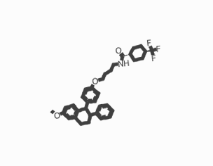 COc1ccc2c(c1)CCC(c1ccccc1)C2c1ccc(OCCCCNC(=O)[C@H]2CC[C@H](C(F)(F)F)CC2)cc1